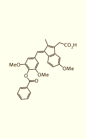 COc1ccc2c(c1)C(CC(=O)O)=C(C)/C2=C/c1cc(OC)c(OC(=O)c2ccccc2)c(OC)c1